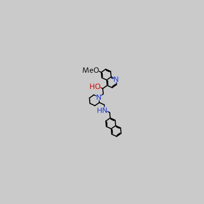 COc1ccc2nccc(C(O)CN3CCCCC3CNCc3ccc4ccccc4c3)c2c1